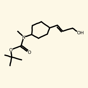 CN(C(=O)OC(C)(C)C)C1CCC(C=CCO)CC1